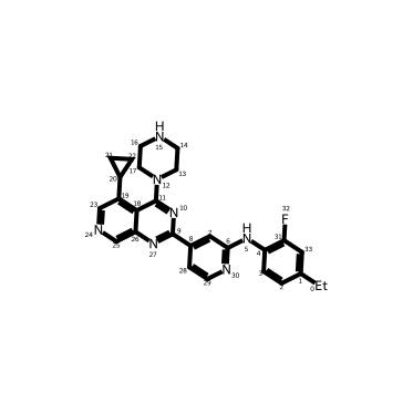 CCc1ccc(Nc2cc(-c3nc(N4CCNCC4)c4c(C5CC5)cncc4n3)ccn2)c(F)c1